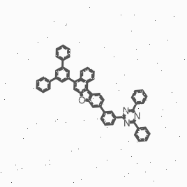 c1ccc(-c2cc(-c3ccccc3)cc(-c3cc4oc5cc(-c6cccc(-c7nc(-c8ccccc8)nc(-c8ccccc8)n7)c6)ccc5c4c4ccccc34)c2)cc1